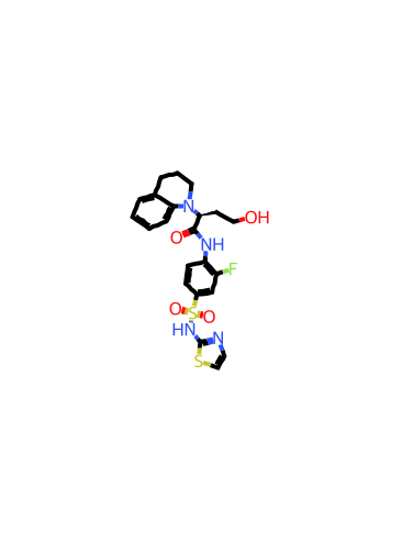 O=C(Nc1ccc(S(=O)(=O)Nc2nccs2)cc1F)[C@H](CCO)N1CCCc2ccccc21